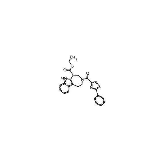 CCOC(=O)C1=CN(C(=O)c2csc(-c3ccccc3)n2)CCc2c1[nH]c1ccccc21